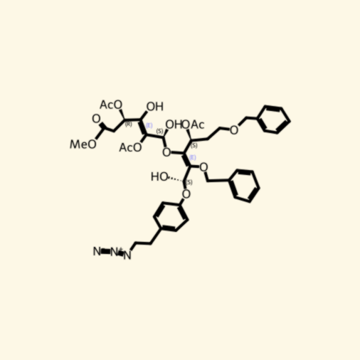 COC(=O)C[C@@H](OC(C)=O)/C(O)=C(\OC(C)=O)[C@@H](O)O/C(=C(/OCc1ccccc1)[C@@H](O)Oc1ccc(CCN=[N+]=[N-])cc1)[C@H](CCOCc1ccccc1)OC(C)=O